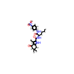 CCCCC(NC(=O)c1[nH]c2c(c1C)C(=O)CC(C)(C)C2)C(=O)Nc1ccc([N+](=O)[O-])cc1